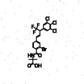 CC(C)(NC(=O)c1ccc(C=CC(c2cc(Cl)c(Cl)c(Cl)c2)C(F)(F)F)cc1Br)C(=O)O